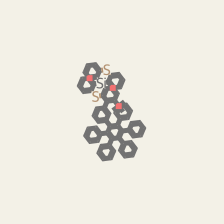 CC(C)(C)c1ccc2c(c1-c1cccc(-c3c(-c4ccccc4)c(-c4ccccc4)c(-c4ccccc4)c(-c4ccccc4)c3-c3ccccc3)c1)Sc1ccccc1[Si]21c2ccccc2Sc2ccccc21